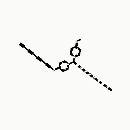 C#CC#CC#CC#CN=c1ccn(C(=C=C=C=C=C=C=C=C=C)n2ccc(=NC)cc2)cc1